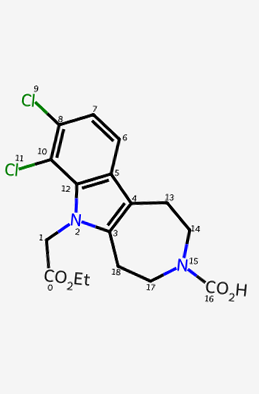 CCOC(=O)Cn1c2c(c3ccc(Cl)c(Cl)c31)CCN(C(=O)O)CC2